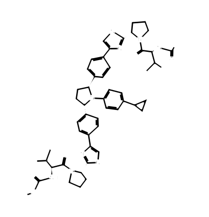 COC(=O)N[C@H](C(=O)N1CCC[C@H]1c1nc(-c2ccc([C@@H]3CC[C@@H](c4ccc(-c5c[nH]c([C@@H]6CCCN6C(=O)[C@@H](NC(=O)O)C(C)C)n5)cc4)N3c3ccc(C4CC4)cc3)cc2)c[nH]1)C(C)C